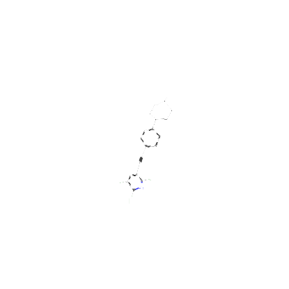 CCC1CCC(c2ccc(C#Cc3cc(F)c(F)nc3Cl)cc2)CC1